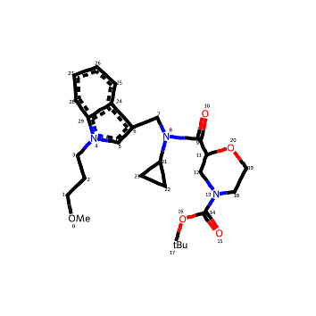 COCCCn1cc(CN(C(=O)C2CN(C(=O)OC(C)(C)C)CCO2)C2CC2)c2ccccc21